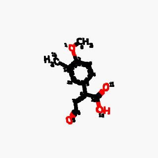 COc1ccc(C(=CC=O)C(=O)O)cc1C